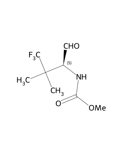 COC(=O)N[C@H](C=O)C(C)(C)C(F)(F)F